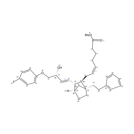 COC(=O)CCC/C=C\C[C@@H]1[C@@H](/C=C/[C@@H](O)COc2ccc(F)cc2)[C@H]2C[C@]1(CCc1ccccc1)CO2